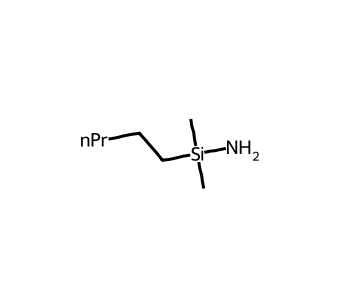 CCCCC[Si](C)(C)N